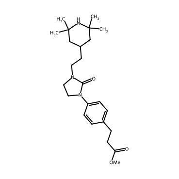 COC(=O)CCc1ccc(N2CCN(CCC3CC(C)(C)NC(C)(C)C3)C2=O)cc1